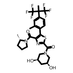 Cc1cc(C(C)(C(F)(F)F)C(F)(F)F)ccc1-c1sc(C(=O)N2C[C@H](O)C[C@H](O)C2)nc1C(=O)N1CCC[C@@H]1C